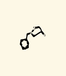 O=C1CSN(Cc2ccccc2)C1